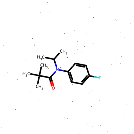 CC(C)N(C(=O)C(C)(C)C)c1ccc(F)cc1